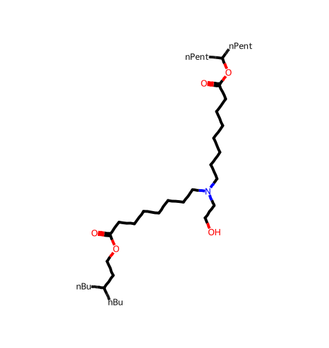 CCCCCC(CCCCC)OC(=O)CCCCCCCN(CCO)CCCCCCCC(=O)OCCC(CCCC)CCCC